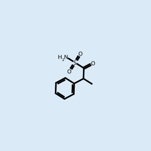 CC(C(=O)S(N)(=O)=O)c1ccccc1